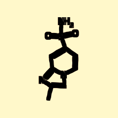 Cc1cn2ccc(S(N)(=O)=O)cc2n1